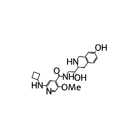 COc1cnc(NC2CCC2)cc1C(=O)NC[C@@H](O)[C@@H]1Cc2ccc(O)cc2CN1